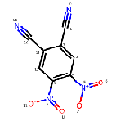 N#Cc1cc([N+](=O)[O-])c([N+](=O)[O-])cc1C#N